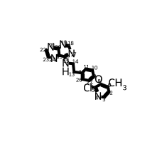 Cc1ccnc(Cl)c1Oc1ccc(CCNc2ncnc3nccnc23)cc1